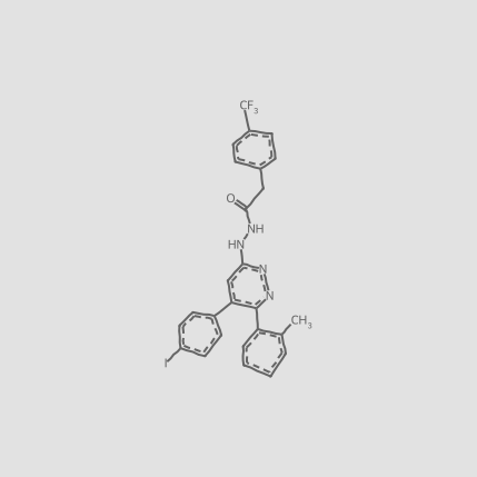 Cc1ccccc1-c1nnc(NNC(=O)Cc2ccc(C(F)(F)F)cc2)cc1-c1ccc(I)cc1